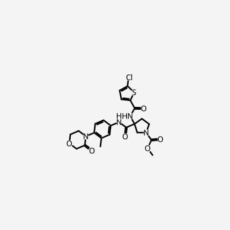 COC(=O)N1CCC(NC(=O)c2ccc(Cl)s2)(C(=O)Nc2ccc(N3CCOCC3=O)c(C)c2)C1